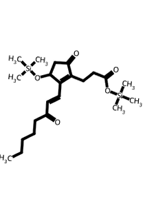 CCCCCC(=O)C=CC1=C(CCC(=O)O[Si](C)(C)C)C(=O)CC1O[Si](C)(C)C